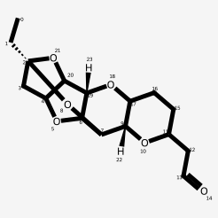 CC[C@@]12CC3OC4C(O1)[C@H]1OC(CC=O)CCC1O[C@H]4C3O2